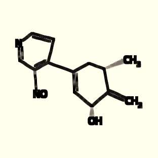 C=C1[C@H](O)C=C(c2ccncc2N=O)C[C@@H]1C